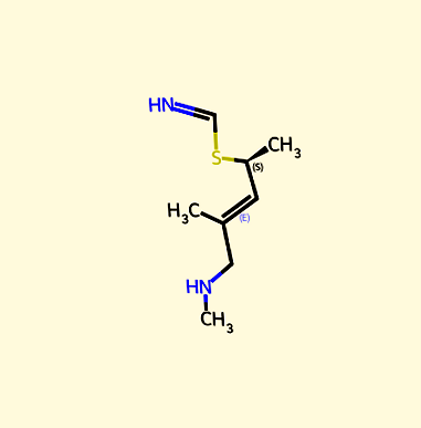 CNC/C(C)=C/[C@H](C)SC=N